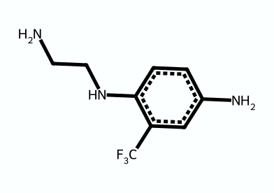 NCCNc1ccc(N)cc1C(F)(F)F